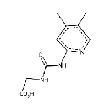 Cc1cnc(NC(=O)NCC(=O)O)cc1C